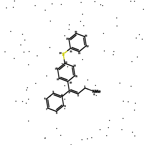 CNCC=C(c1ccccc1)c1ccc(Sc2ccccc2)cc1